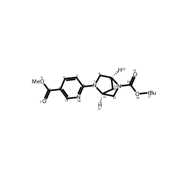 COC(=O)c1ccc(N2C[C@@H]3C[C@H]2CN3C(=O)OC(C)(C)C)nc1